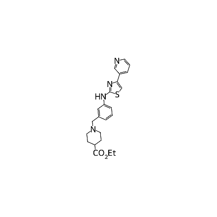 CCOC(=O)C1CCN(Cc2cccc(Nc3nc(-c4cccnc4)cs3)c2)CC1